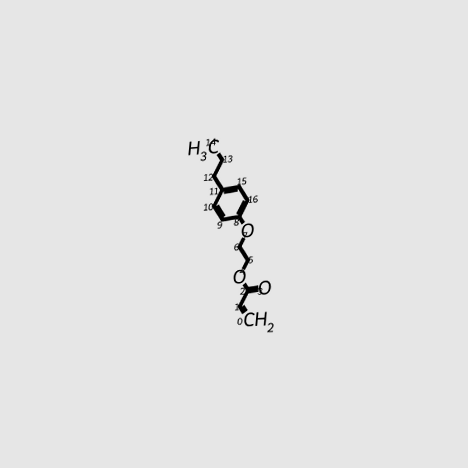 C=CC(=O)OCCOc1ccc(CCC)cc1